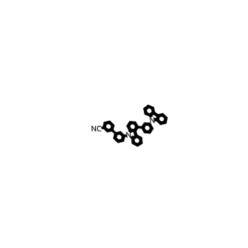 N#Cc1cccc(-c2cccc(-n3c4ccccc4c4c(-c5cccc(-n6c7ccccc7c7ccccc76)c5)cccc43)c2)c1